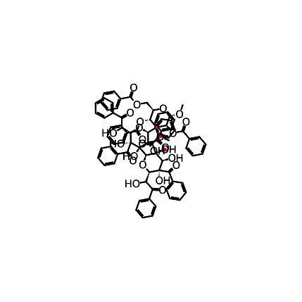 CO[C@H]1O[C@H](COC(=O)c2ccccc2)[C@@H](OC(=O)c2ccccc2)[C@@](OC)([C@@H]2O[C@H](C(O)C(=O)c3ccccc3)[C@](O)(C(=O)c3ccccc3)[C@@](O)([C@@H]3O[C@H](C(O)C(=O)c4ccccc4)[C@](O)(C(=O)c4ccccc4)[C@H](O)[C@@]3(O)C(=O)c3ccccc3)[C@@]2(O)C(=O)c2ccccc2)[C@@H]1OC(=O)c1ccccc1